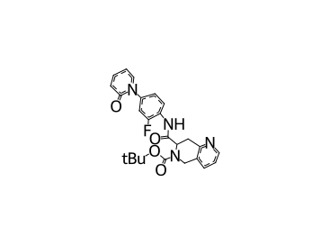 CC(C)(C)OC(=O)N1Cc2cccnc2CC1C(=O)Nc1ccc(-n2ccccc2=O)cc1F